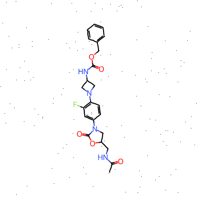 CC(=O)NCC1CN(c2ccc(N3CC(NC(=O)OCc4ccccc4)C3)c(F)c2)C(=O)O1